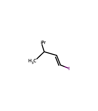 CC(C)C(C)/C=C/I